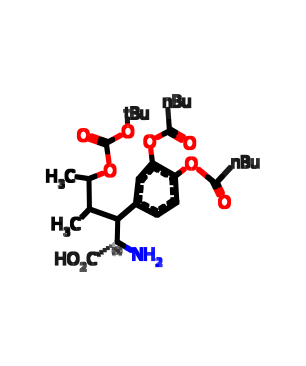 CCCCC(=O)Oc1ccc(C(C(C)C(C)OC(=O)OC(C)(C)C)[C@H](N)C(=O)O)cc1OC(=O)CCCC